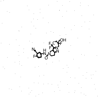 N#Cc1cc(NC(=O)N2CCc3nn4c(c3C2)C(F)(F)CCC(F)(CO)C4)ccc1F